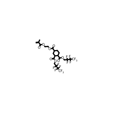 C=C(C)C(=O)OCCOC(=O)C1CCC(C(=O)OCC(F)(F)C(F)(F)C(F)(F)F)C(C(=O)OCC(F)(F)C(F)(F)C(F)(F)F)C1